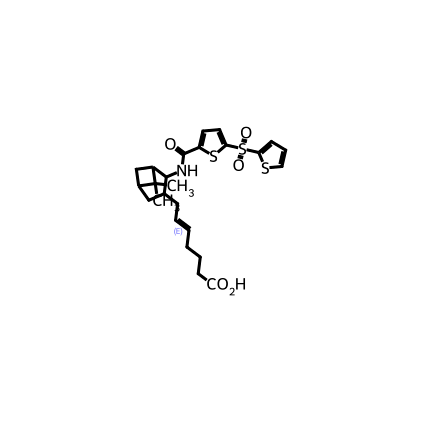 CC1(C)C2CC(C/C=C/CCCC(=O)O)C(NC(=O)c3ccc(S(=O)(=O)c4cccs4)s3)C1C2